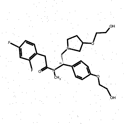 CN(C(=O)Cc1ccc(F)cc1F)[C@H](CN1CCC(OCCO)C1)c1ccc(OCCO)cc1